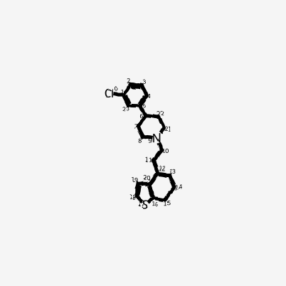 Clc1cccc(C2CCN(CCC3CCCc4sccc43)CC2)c1